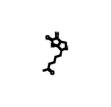 CC(=O)CCCC[C@@H]1SCC2NC(=O)N=C21